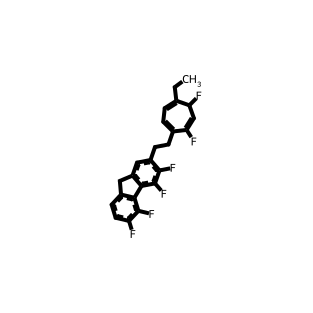 CCC1=CC=C(CCc2cc3c(c(F)c2F)-c2c(ccc(F)c2F)C3)C(F)=CC1F